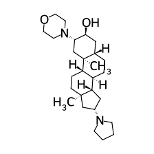 C[C@]12CC[C@H]3[C@@H](CC[C@H]4C[C@H](O)[C@@H](N5CCOCC5)C[C@@]43C)[C@@H]1C[C@H](N1CCCC1)C2